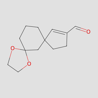 O=CC1=CC2(CCCC3(C2)OCCO3)CC1